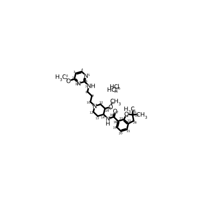 COc1ccnc(NCCCN2CCC(NC(=O)c3cccc4c3OC(C)(C)C4)C(OC)C2)n1.Cl.Cl